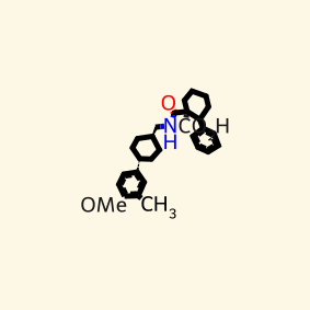 COc1ccc([C@H]2CC[C@H](CNC(=O)C3(C(=O)O)CCCCC3c3ccccc3)CC2)cc1C